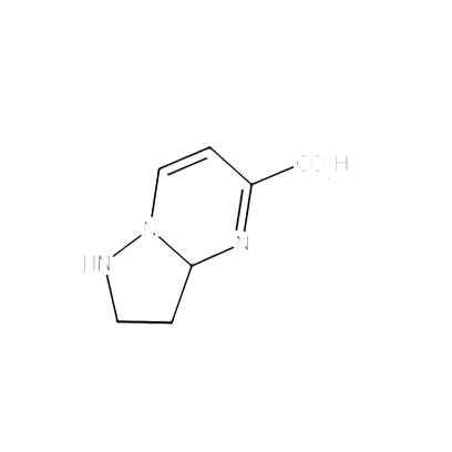 O=C(O)C1=NC2CCNN2C=C1